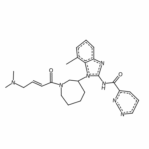 Cc1cccc2nc(NC(=O)c3cccnn3)n(C3CCCCN(C(=O)/C=C/CN(C)C)C3)c12